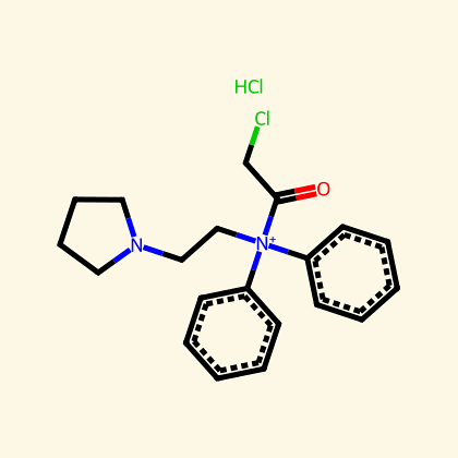 Cl.O=C(CCl)[N+](CCN1CCCC1)(c1ccccc1)c1ccccc1